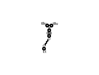 CCc1ccc(OCCCCCCOc2ccc(S(=O)(=O)c3ccc(-n4c5ccc(C(C)(C)C)cc5c5cc(C(C)(C)C)ccc54)cc3)cc2)cc1